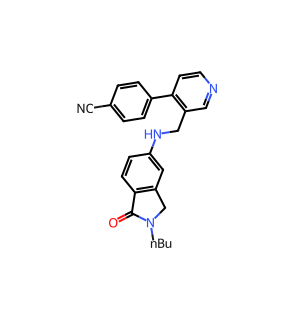 CCCCN1Cc2cc(NCc3cnccc3-c3ccc(C#N)cc3)ccc2C1=O